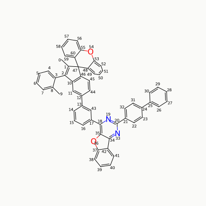 CC1=C(c2ccccc2C)c2cc(-c3cccc(-c4nc(-c5ccc(-c6ccccc6)cc5)nc5c4oc4ccccc45)c3)ccc2C12c1ccccc1Oc1ccccc12